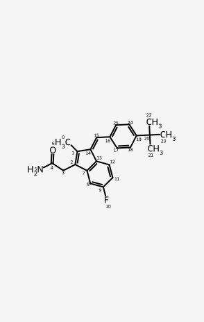 CC1=C(CC(N)=O)c2cc(F)ccc2/C1=C\c1ccc(C(C)(C)C)cc1